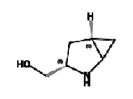 OC[C@@H]1C[C@H]2CC2N1